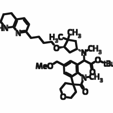 COCc1cc(C(C(=O)OC(C)(C)C)N(C)[C@@H]2C[C@@H](OCCCCc3ccc4c(n3)NCCC4)C(C)(C)C2)c2c(c1)C1(CCOCC1)C(=O)N2C